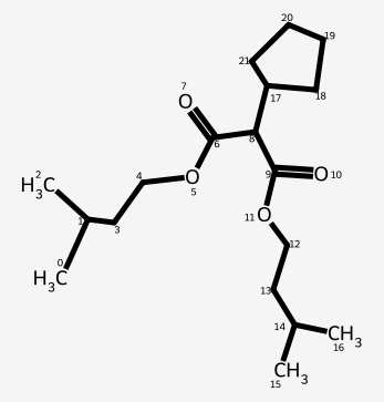 CC(C)CCOC(=O)C(C(=O)OCCC(C)C)C1CCCC1